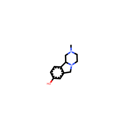 CN1CCN2Cc3cc(O)ccc3C2C1